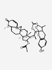 CC(=O)O[C@H]1C[C@@]2(C)C3CCC4[C@H](C)C(=O)C=C[C@@]45C[C@@]35CC[C@]2(C)[C@H]1[C@H](C)[C@@H](OC(C)=O)C12OCC(C)C1Cc1ccc(O)cc1O2